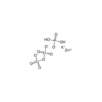 O=P([O-])(O)O.[K+].[O]=[Cr](=[O])([O-])[O][Cr](=[O])(=[O])[O-].[Zn+2]